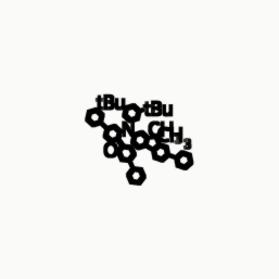 CC(C)(C)c1cc(N(c2ccc3c(c2)C(C)(C)c2cc(-c4ccccc4)ccc2-3)c2cc(-c3ccccc3)cc3oc4cc(-c5ccccc5)ccc4c23)cc(C(C)(C)C)c1